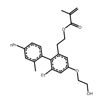 C=C(C)C(=O)OCCc1cc(OCCO)cc(CC)c1-c1ccc(CCC)cc1C